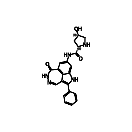 O=C1NN=Cc2c(-c3ccccc3)[nH]c3cc(NC(=O)[C@@H]4C[C@@H](O)CN4)cc1c23